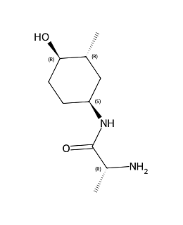 C[C@@H]1C[C@@H](NC(=O)[C@@H](C)N)CC[C@H]1O